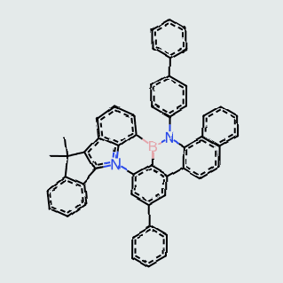 CC1(C)c2ccccc2-c2c1c1cccc3c1n2-c1cc(-c2ccccc2)cc2c1B3N(c1ccc(-c3ccccc3)cc1)c1c-2ccc2ccccc12